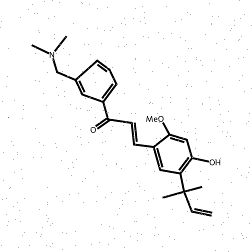 C=CC(C)(C)c1cc(C=CC(=O)c2cccc(CN(C)C)c2)c(OC)cc1O